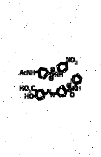 CC(=O)Nc1ccc(S(=O)(=O)Nc2ccc([N+](=O)[O-])cc2)cc1.O=C(O)c1cc(N=Nc2ccc(S(=O)(=O)Nc3ccccn3)cc2)ccc1O